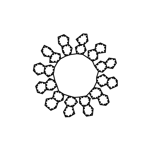 c1ccc2cc3c(cc2c1)-c1cc2ccccc2cc1-c1cc2ccccc2cc1-c1cc2ccccc2cc1-c1cc2ccccc2cc1-c1cc2ccccc2cc1-c1cc2ccccc2cc1-c1cc2ccccc2cc1-c1cc2ccccc2cc1-c1cc2ccccc2cc1-c1cc2ccccc2cc1-c1cc2ccccc2cc1-3